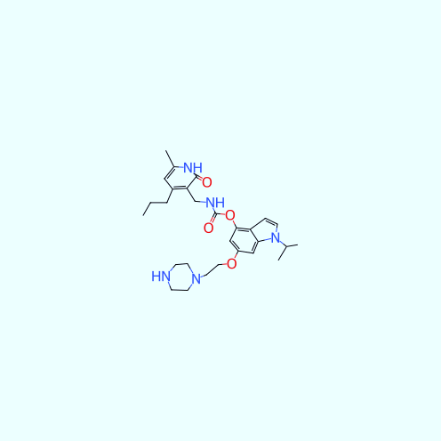 CCCc1cc(C)[nH]c(=O)c1CNC(=O)Oc1cc(OCCN2CCNCC2)cc2c1ccn2C(C)C